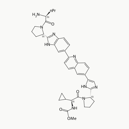 CCC[C@H](N)C(=O)N1CCC[C@H]1c1nc2ccc(-c3ccc4cc(-c5cnc([C@@H]6CCCN6C(=O)[C@@H](NC(=O)OC)C6CC6)[nH]5)ccc4n3)cc2[nH]1